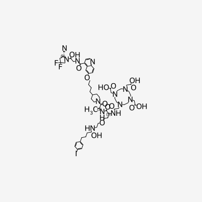 C[C@H](NC(=O)[C@H](CCOCCNC(O)CCCc1ccc(I)cc1)NC(=O)CN1CCN(CC(=O)O)CCN(CC(=O)O)CCN(CC(=O)O)CC1)C(=O)N1CCC(CCCCOc2ccc3nccc(C(=O)NCC(=O)N4CC(F)(F)C[C@@H]4C#N)c3c2)CC1